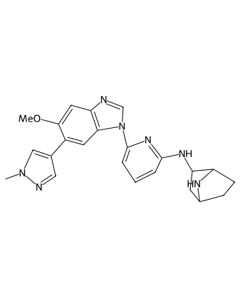 COc1cc2ncn(-c3cccc(NC4CC5CCC4N5)n3)c2cc1-c1cnn(C)c1